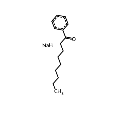 CCCCCCCCC(=O)c1ccccc1.[NaH]